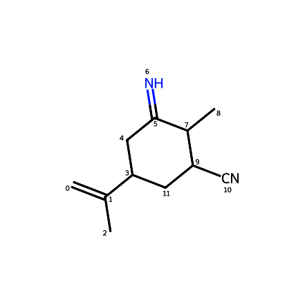 C=C(C)C1CC(=N)C(C)C(C#N)C1